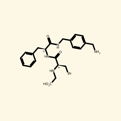 CC(C)C[C@@H](NCC(=O)O)C(=O)N[C@@H](Cc1ccccc1)C(=O)NCc1ccc(CN)cc1